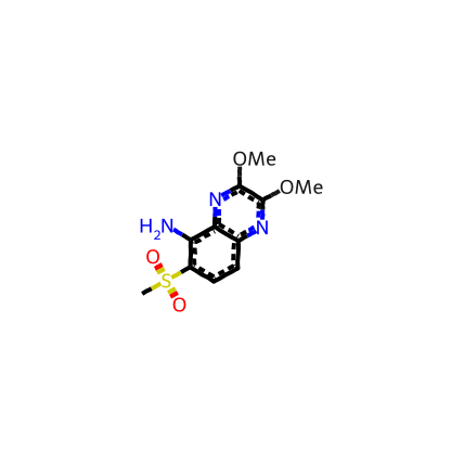 COc1nc2ccc(S(C)(=O)=O)c(N)c2nc1OC